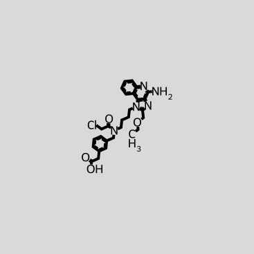 CCOCc1nc2c(N)nc3ccccc3c2n1CCCCN(Cc1cccc(CC(=O)O)c1)C(=O)CCl